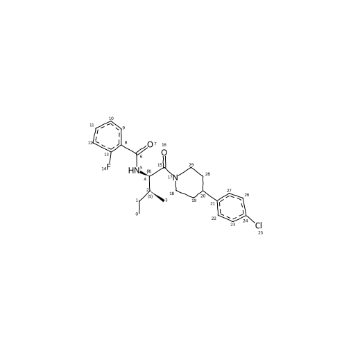 CC[C@H](C)[C@@H](NC(=O)c1ccccc1F)C(=O)N1CCC(c2ccc(Cl)cc2)CC1